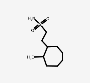 CC1CCCCCC1CCS(N)(=O)=O